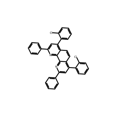 Clc1ccccc1-c1cc(-c2ccccc2)nc2c1ccc1c(-c3ccccc3Cl)cc(-c3ccccc3)nc12